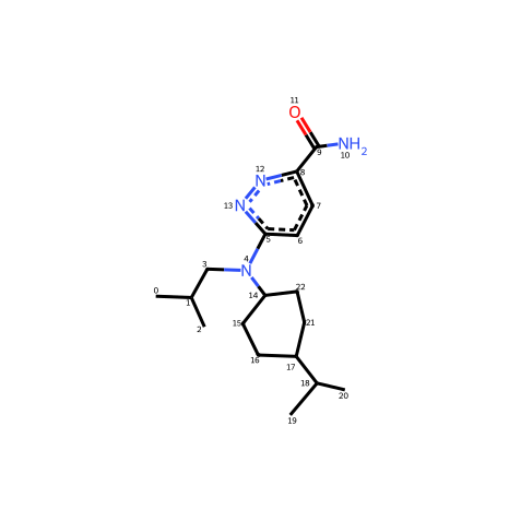 CC(C)CN(c1ccc(C(N)=O)nn1)C1CCC(C(C)C)CC1